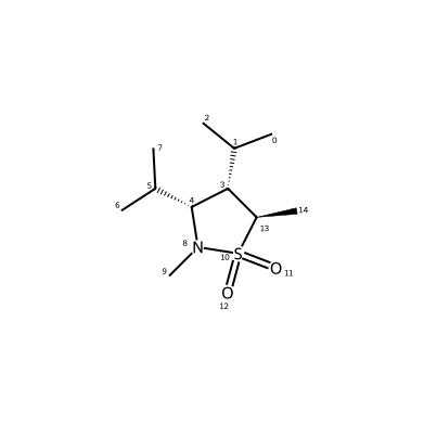 CC(C)[C@H]1[C@@H](C(C)C)N(C)S(=O)(=O)[C@@H]1C